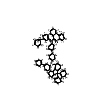 c1ccc(-c2cccc(N(c3ccc(-c4ccc(N(c5cccc(-c6ccccc6)c5)c5nc6ccccc6c6ccccc56)cc4)cc3)c3cccc4c3-c3ccccc3C4(c3ccccc3)c3ccccc3)c2)cc1